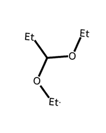 C[CH]OC(CC)OCC